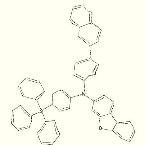 c1ccc([Si](c2ccccc2)(c2ccccc2)c2ccc(N(c3ccc(-c4ccc5ccccc5c4)cc3)c3ccc4c(c3)oc3ccccc34)cc2)cc1